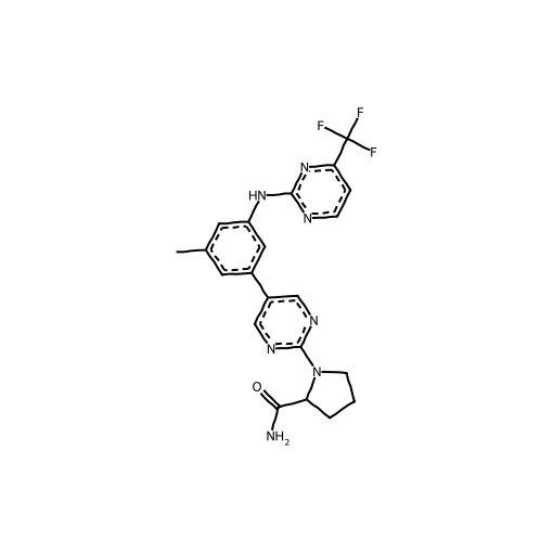 Cc1cc(Nc2nccc(C(F)(F)F)n2)cc(-c2cnc(N3CCCC3C(N)=O)nc2)c1